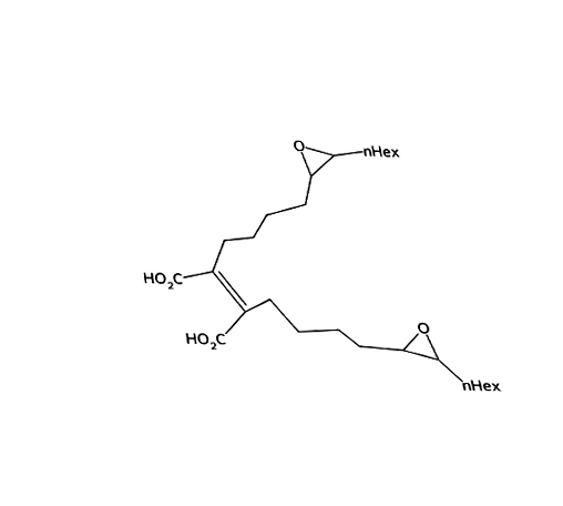 CCCCCCC1OC1CCCCC(C(=O)O)=C(CCCCC1OC1CCCCCC)C(=O)O